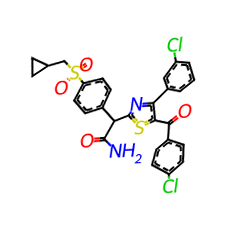 NC(=O)C(c1ccc(S(=O)(=O)CC2CC2)cc1)c1nc(-c2cccc(Cl)c2)c(C(=O)c2ccc(Cl)cc2)s1